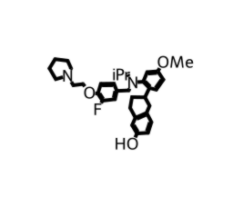 COc1ccc(C2CCc3cc(O)ccc3C2)c(N(Cc2ccc(OCCN3CCCCC3)c(F)c2)C(C)C)c1